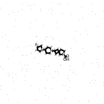 O=C(O)N1CCC2(CC(N3CCC(N4CC[C@H](F)C4)CC3)C2)C1